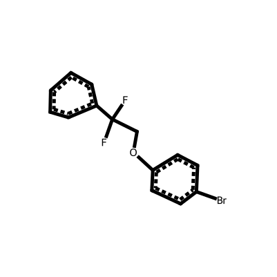 FC(F)(COc1ccc(Br)cc1)c1ccccc1